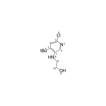 CC(C)(C)c1cc(Cl)ncc1NCCO